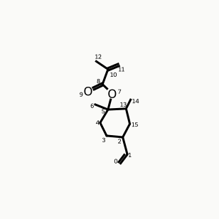 C=CC1CCC(C)(OC(=O)C(=C)C)C(C)C1